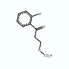 O=C(O)OCCC(=O)c1ccccc1Cl